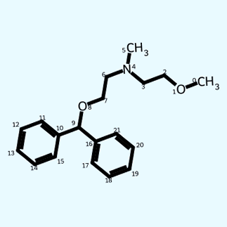 COCCN(C)CCOC(c1ccccc1)c1ccccc1